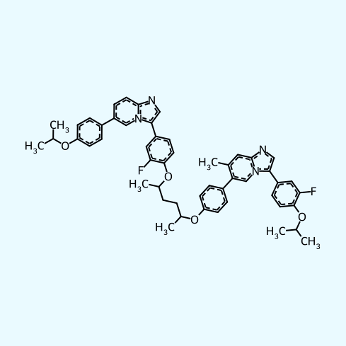 Cc1cc2ncc(-c3ccc(OC(C)C)c(F)c3)n2cc1-c1ccc(OC(C)CCC(C)Oc2ccc(-c3cnc4ccc(-c5ccc(OC(C)C)cc5)cn34)cc2F)cc1